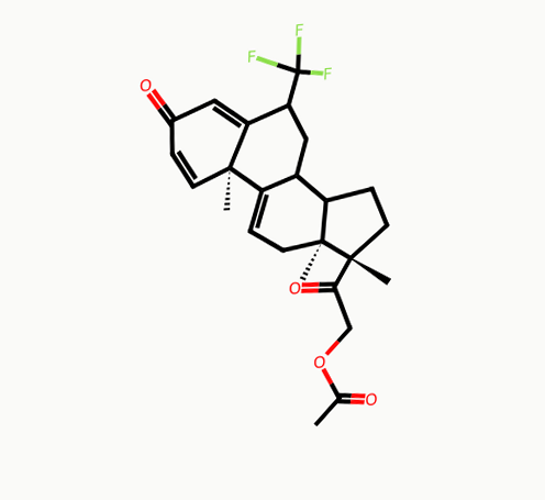 CC(=O)OCC(=O)[C@@]1(C)CCC2C3CC(C(F)(F)F)C4=CC(=O)C=C[C@]4(C)C3=CC[C@@]21C